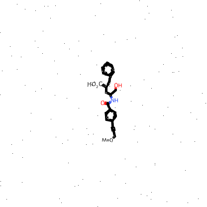 COCC#Cc1ccc(C(=O)NC(CO)CC(Cc2ccccc2)C(=O)O)cc1